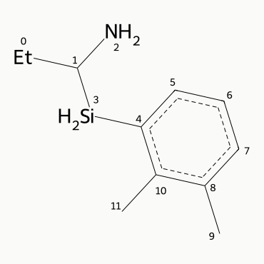 CCC(N)[SiH2]c1cccc(C)c1C